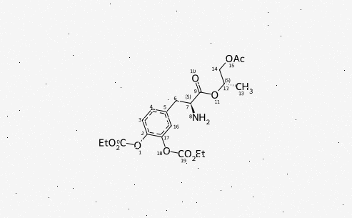 CCOC(=O)Oc1ccc(C[C@H](N)C(=O)O[C@@H](C)COC(C)=O)cc1OC(=O)OCC